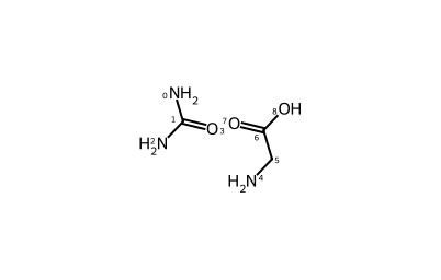 NC(N)=O.NCC(=O)O